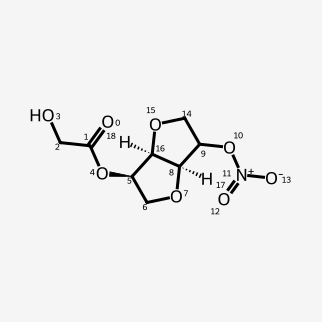 O=C(CO)O[C@@H]1CO[C@@H]2C(O[N+](=O)[O-])CO[C@@H]21